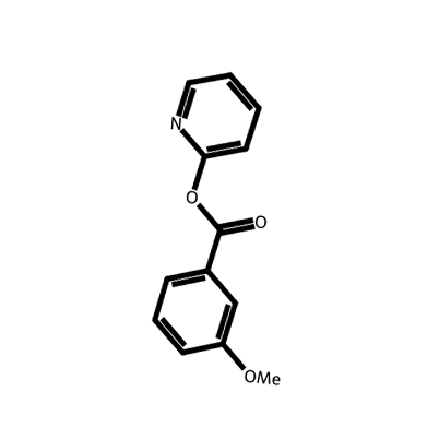 COc1cccc(C(=O)Oc2ccccn2)c1